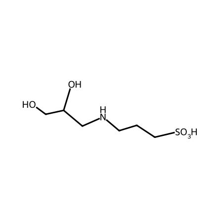 O=S(=O)(O)CCCNCC(O)CO